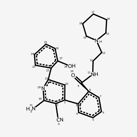 N#Cc1c(-c2ccccc2C(=O)NCCN2CCCCC2)cc(-c2ccccc2O)nc1N